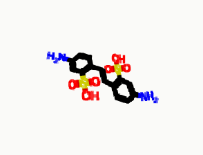 Nc1ccc(C=Cc2ccc(N)cc2S(=O)(=O)O)c(S(=O)(=O)O)c1